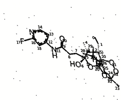 CC[C@H]1[C@@H](C)[C@@](O)(CCC(=O)Nc2ccnc(F)c2)O[C@@H]2O[C@]3(C)CC[C@@H](C(C)C)[C@]21OO3